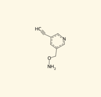 C#Cc1cncc(CON)c1